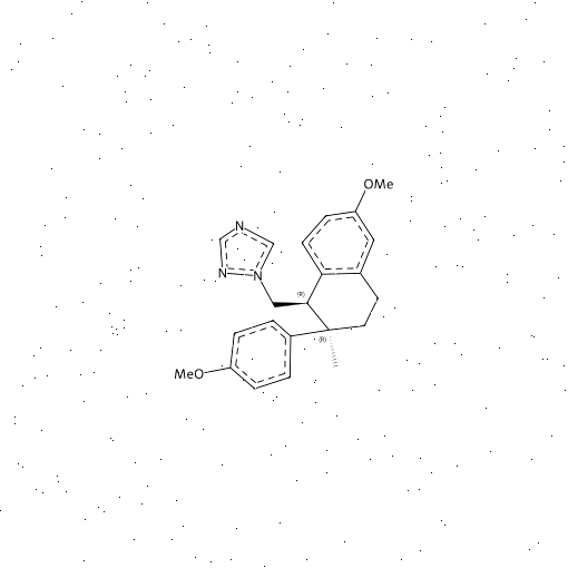 COc1ccc([C@]2(C)CCc3cc(OC)ccc3[C@@H]2Cn2cncn2)cc1